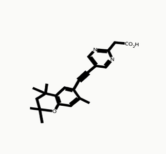 Cc1cc2c(cc1C#Cc1cnc(CC(=O)O)nc1)C(C)(C)CC(C)(C)O2